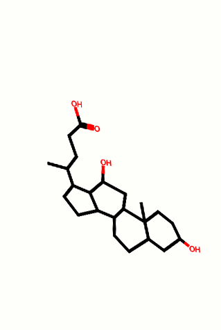 CC(CCC(=O)O)C1CCC2C3CCC4CC(O)CCC4(C)C3CC(O)C12